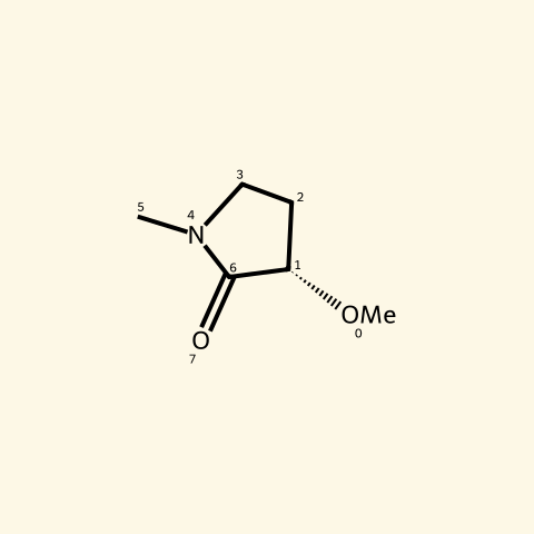 CO[C@H]1CCN(C)C1=O